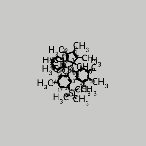 CC1=C(C)C(C)([Si](c2ccccc2)(c2cc(C)cc([Si](C)(C)C)c2)c2cc(C)c(C)c(C)c2)[C]([Ti]([CH3])([CH3])[CH3])=C1C